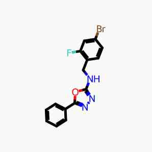 Fc1cc(Br)ccc1CNc1nnc(-c2ccccc2)o1